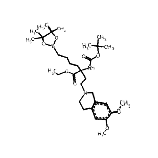 CCOC(=O)C(CCCCB1OC(C)(C)C(C)(C)O1)(CCN1CCc2cc(OC)c(OC)cc2C1)NC(=O)OC(C)(C)C